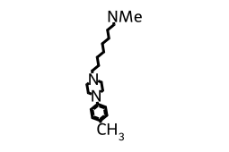 CNCCCCCCCCN1CCN(c2ccc(C)cc2)CC1